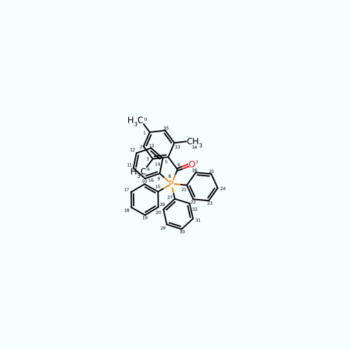 Cc1cc(C)c(C(=O)P(c2ccccc2)(c2ccccc2)(c2ccccc2)c2ccccc2)c(C)c1